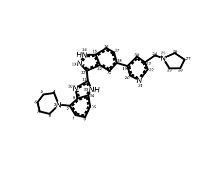 c1cc(N2CCCCC2)c2nc(-c3n[nH]c4ccc(-c5cncc(CN6CCCC6)c5)cc34)[nH]c2c1